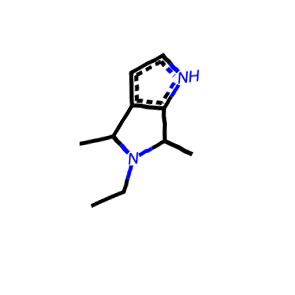 CCN1C(C)c2cc[nH]c2C1C